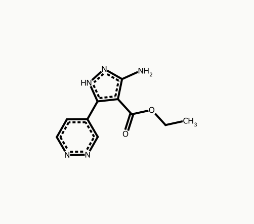 CCOC(=O)c1c(N)n[nH]c1-c1ccnnc1